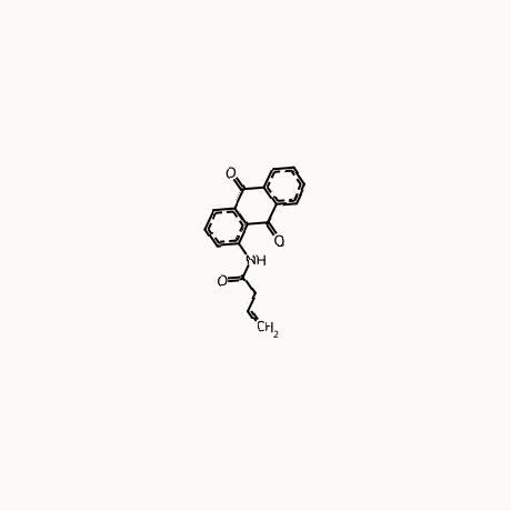 C=CCC(=O)Nc1cccc2c1C(=O)c1ccccc1C2=O